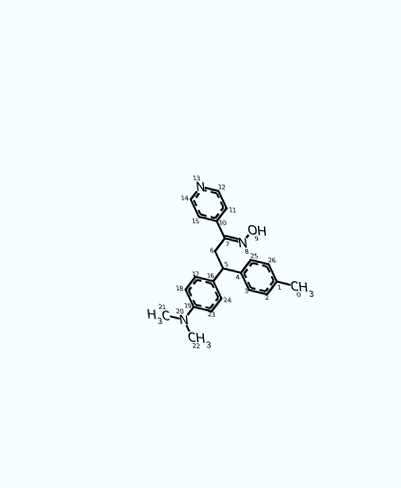 Cc1ccc(C(C/C(=N/O)c2ccncc2)c2ccc(N(C)C)cc2)cc1